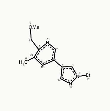 CCn1cc(-c2cnc(COC)c(C)c2)cn1